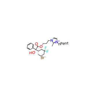 CCCCC[n+]1ccn(CCCOC(=O)[C@](O)(c2ccccc2)[C@H]2CCCC(F)(F)C2)c1C.[Br-]